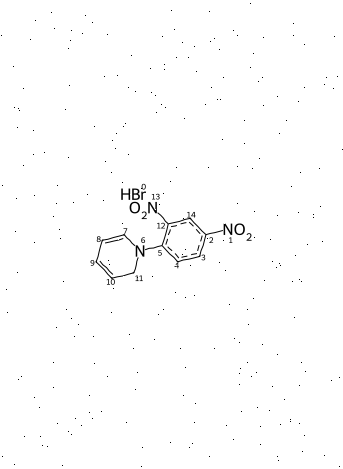 Br.O=[N+]([O-])c1ccc(N2C=CC=CC2)c([N+](=O)[O-])c1